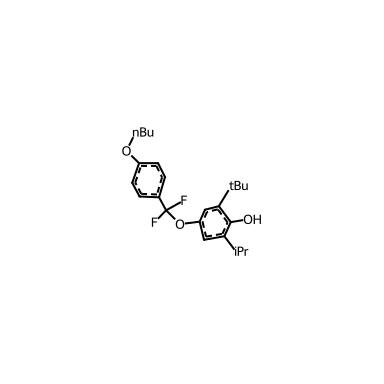 CCCCOc1ccc(C(F)(F)Oc2cc(C(C)C)c(O)c(C(C)(C)C)c2)cc1